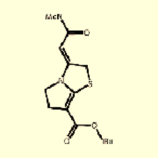 CCC(C)OC(=O)C1=C2SCC(=CC(=O)NC)N2CC1